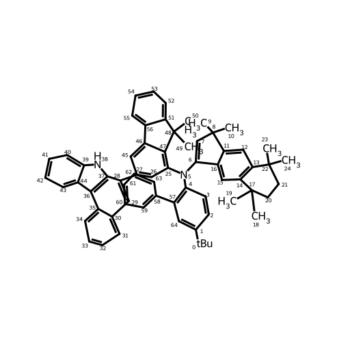 CC(C)(C)c1ccc(N(C2=CC(C)(C)c3cc4c(cc32)C(C)(C)CCC4(C)C)c2cc(-c3cc4ccccc4c4c3[nH]c3ccccc34)cc3c2C(C)(C)c2ccccc2-3)c(-c2ccccc2)c1